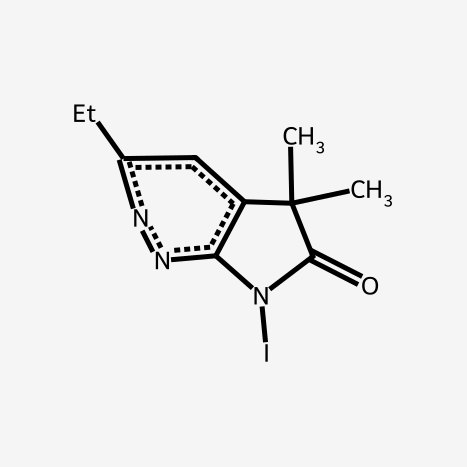 CCc1cc2c(nn1)N(I)C(=O)C2(C)C